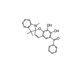 CN1c2ccccc2C(C)(C)C12C=Cc1cc(C(=O)c3ccccc3)c(O)c(O)c1O2